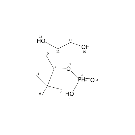 CC(O[PH](=O)O)C(C)(C)C.OCCO